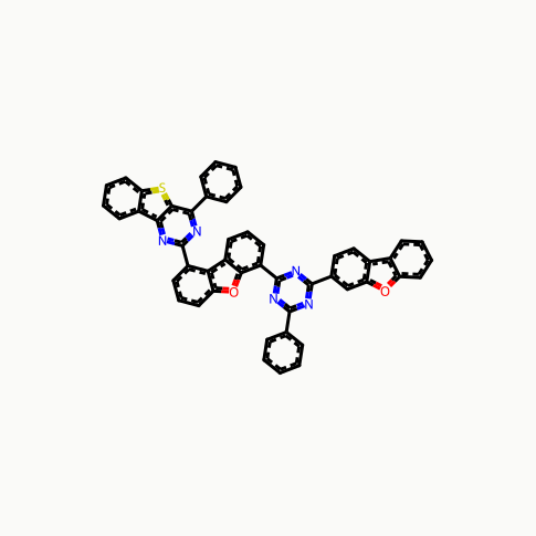 c1ccc(-c2nc(-c3ccc4c(c3)oc3ccccc34)nc(-c3cccc4c3oc3cccc(-c5nc(-c6ccccc6)c6sc7ccccc7c6n5)c34)n2)cc1